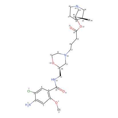 CCOc1cc(N)c(Cl)cc1C(=O)NC[C@@H]1CN(CCCC(=O)O[C@H]2CN3CCC2CC3)CCO1